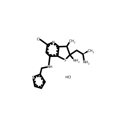 CC1c2nc(Cl)cc(NCc3cccs3)c2SC1(N)C[C@@H](C)N.Cl